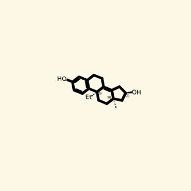 CC[C@@]12CC[C@]3(C)C[C@H](O)CC3=C1CCc1cc(O)ccc12